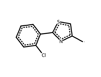 [CH2]c1csc(-c2ccccc2Cl)n1